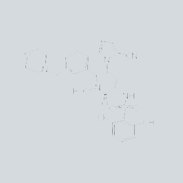 Cc1cccc(Cl)c1S(=O)(=O)NC(CCn1cccc1C#N)C(=O)N(C)Cc1cccc(CN2CCOCC2)c1